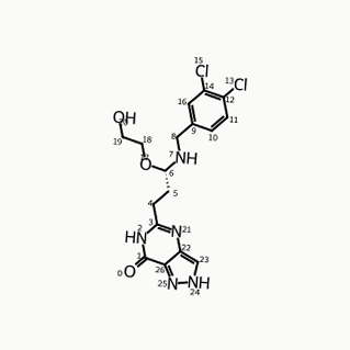 O=c1[nH]c(CC[C@@H](NCc2ccc(Cl)c(Cl)c2)OCCO)nc2c[nH]nc12